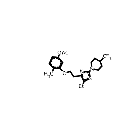 CCc1sc(N2CCC(C(F)(F)F)CC2)nc1CCOc1cc(OC(C)=O)ccc1C